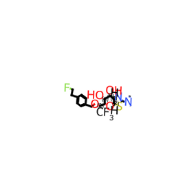 CN(C)C1=N[C@@H]2[C@@H](O)[C@H](O)C([C@@H](OCc3ccc(CCF)cc3)C(F)(F)F)O[C@@H]2S1